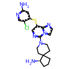 Nc1cc(Sc2cnc(N3CCC4(CCC[C@H]4N)CC3)n3ccnc23)c(Cl)cn1